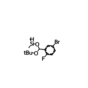 C[SiH](C)OC(OC(C)(C)C)c1cc(Br)ccc1F